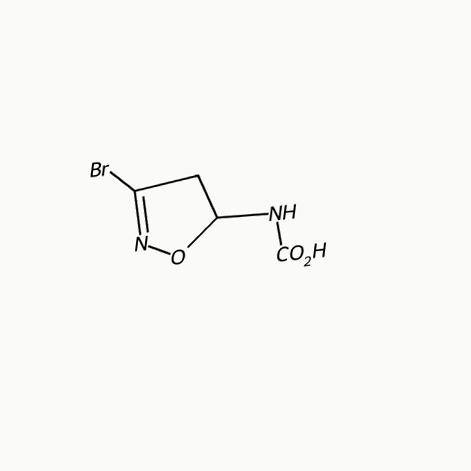 O=C(O)NC1CC(Br)=NO1